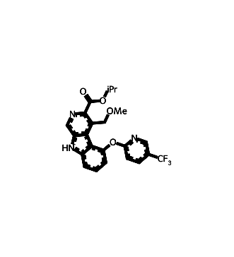 COCc1c(C(=O)OC(C)C)ncc2[nH]c3cccc(Oc4ccc(C(F)(F)F)cn4)c3c12